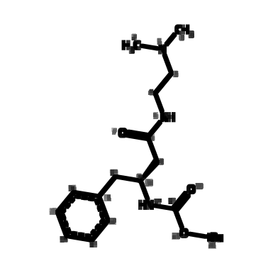 CN(C)CCNC(=O)C[C@H](Cc1ccccc1)NC(=O)OC(C)(C)C